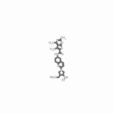 CCNC1CN(c2ccc3c(n2)CCC(NC(=O)c2sc4nc(C)nc(C)c4c2N)C3)CC1COC